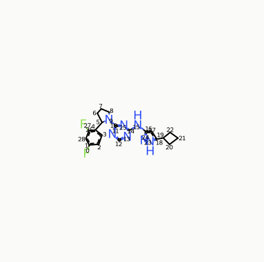 Fc1ccc(C2CCCN2c2ncnc(Nc3cc(C4CCC4)[nH]n3)n2)c(F)c1